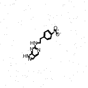 O=[N+]([O-])c1ccc(CCNc2ncc3cn[nH]c3n2)cc1